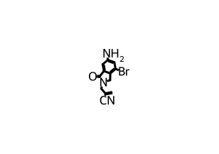 C=C(C#N)CN1Cc2c(Br)cc(N)cc2C1=O